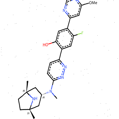 COc1cc(-c2cc(O)c(-c3ccc(N(C)[C@@H]4C[C@]5(C)CC[C@](C)(C4)N5)nn3)cc2F)ncn1